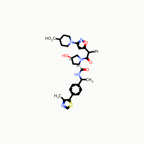 Cc1ncsc1-c1ccc(C(C)NC(=O)[C@@H]2C[C@@H](O)CN2C(=O)C(c2cc(N3CCC(C(=O)O)CC3)no2)C(C)C)cc1